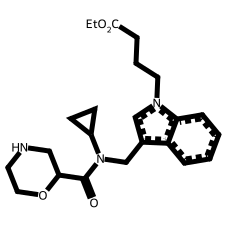 CCOC(=O)CCCn1cc(CN(C(=O)C2CNCCO2)C2CC2)c2ccccc21